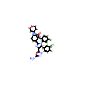 Nc1nnc(-c2nc(C3CCCCC3)n(-c3c(CC(=O)NC4CCOCC4)ccc(Cl)c3F)c2-c2ccc(F)c(Cl)c2)o1